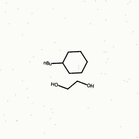 CCCCC1CCCCC1.OCCO